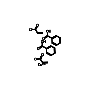 C=CC(=O)[O-].C=CC(=O)[O-].O=C(O)c1ccccc1.O=C(O)c1ccccc1.[Cu+2]